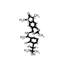 Cc1nc(NC(C)c2cccc(C(F)(F)C(C)(C)O)c2F)c2cc3c(cc2n1)[C@H](C)C(=O)N3C